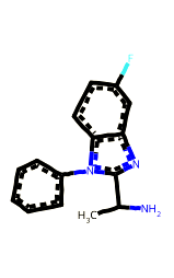 CC(N)c1nc2cc(F)ccc2n1-c1ccccc1